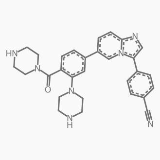 N#Cc1ccc(-c2cnc3ccc(-c4ccc(C(=O)N5CCNCC5)c(N5CCNCC5)c4)cn23)cc1